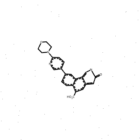 O=C1C=c2cc(C(=O)O)c3ccc(-c4ccc(N5CCOCC5)nc4)cc3c2=C[N]1